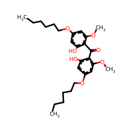 CCCCCCOc1cc(O)c(C(=O)c2c(O)cc(OCCCCCC)cc2OC)c(OC)c1